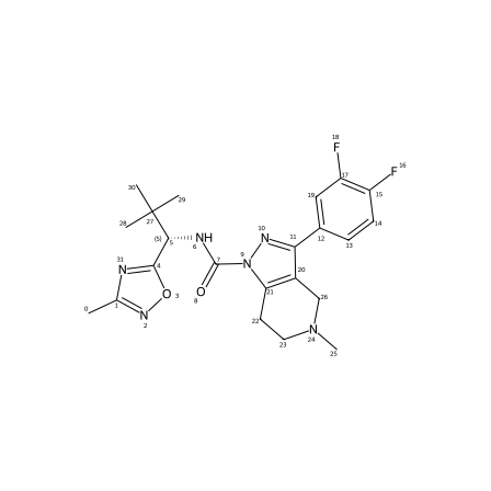 Cc1noc([C@@H](NC(=O)n2nc(-c3ccc(F)c(F)c3)c3c2CCN(C)C3)C(C)(C)C)n1